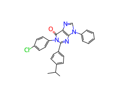 CC(C)c1ccc(-c2nc3c(ncn3-c3ccccc3)c(=O)n2-c2ccc(Cl)cc2)cc1